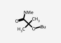 CCC(C)OC(C)(C)C(=O)NC